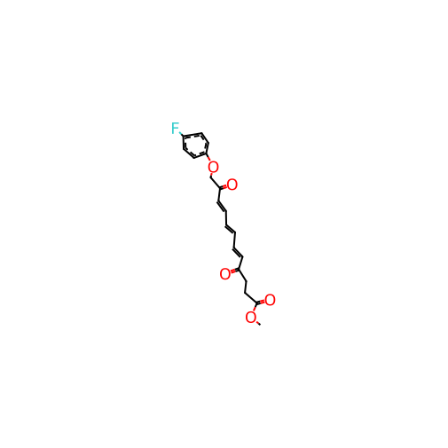 COC(=O)CCC(=O)C=CC=CC=CC(=O)COc1ccc(F)cc1